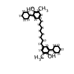 Cc1cc(CCCCCCCCc2cc(C)c(O)c(C3CCCCC3)c2)cc(C2CCCCC2)c1O